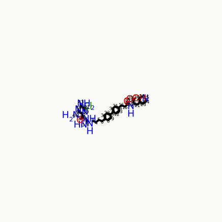 N=C(NCCCCc1ccc(-c2ccc(CCC(=O)NC(Cc3ccncc3)C(=O)O)cc2)cc1)NC(=O)c1nc(Cl)c(N)nc1N